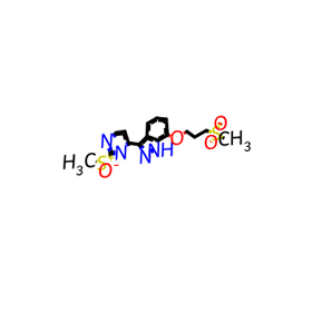 C[S+]([O-])c1nccc(-c2n[nH]c3c(OCCCS(C)(=O)=O)cccc23)n1